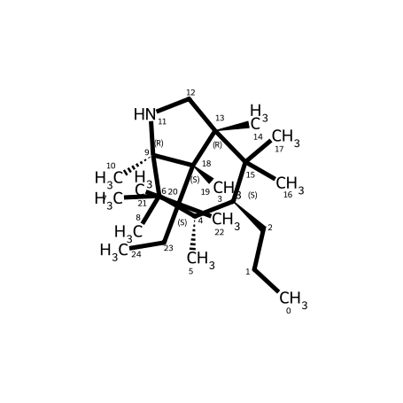 CCC[C@H]1[C@H](C)C(C)(C)[C@@]2(C)NC[C@](C)(C1(C)C)[C@]2(C)C(C)(C)CC